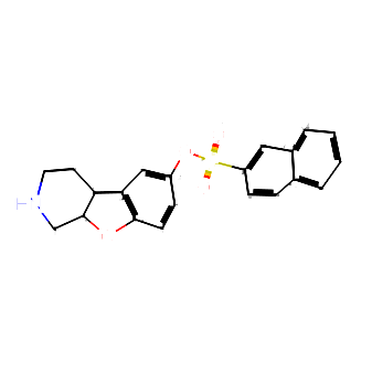 O=S(=O)(Oc1ccc2c(c1)C1CCNCC1O2)c1ccc2ccccc2c1